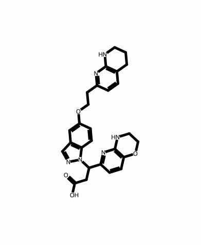 O=C(O)CC(c1ccc2c(n1)NCCO2)n1ncc2cc(OCCc3ccc4c(n3)NCCC4)ccc21